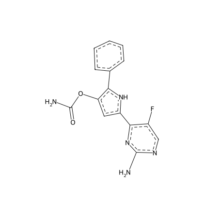 NC(=O)Oc1cc(-c2nc(N)ncc2F)[nH]c1-c1ccccc1